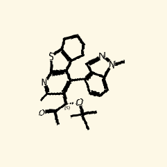 CC(=O)[C@@H](OC(C)(C)C)c1c(C)nc2sc3c(c2c1-c1cccc2c1cnn2C)CCCC3